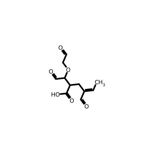 C/C=C(/C=O)CC(C(=O)O)C(C=O)OCC=O